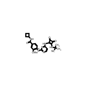 COc1cc(C(=O)NC2CCC2)ccc1Nc1nccc(Nc2c(NC(C)(C)C#N)c(=O)c2=O)n1